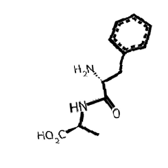 C[C@H](NC(=O)[C@H](N)Cc1ccccc1)C(=O)O